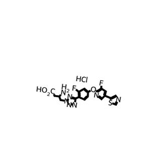 Cl.NC(CC(=O)O)Cn1nnc(-c2ccc(Oc3ncc(-c4cncs4)cc3F)cc2F)n1